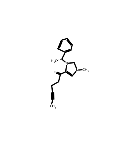 CC#CCCC(=O)C1=CN(C)CN1[C@H](C)c1ccccc1